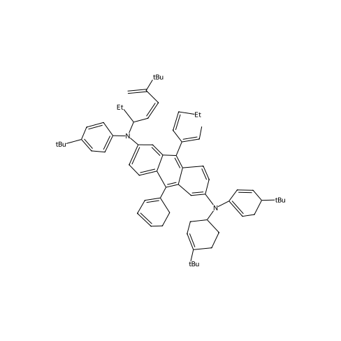 C=C(/C=C\C(CC)N(c1ccc(C(C)(C)C)cc1)c1ccc2c(C3=CC=CCC3)c3cc(N(C4=CCC(C(C)(C)C)C=C4)C4CC=C(C(C)(C)C)CC4)ccc3c(C(/C=C\CC)=C/C)c2c1)C(C)(C)C